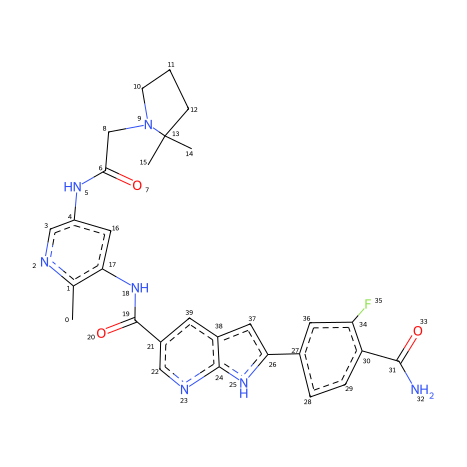 Cc1ncc(NC(=O)CN2CCCC2(C)C)cc1NC(=O)c1cnc2[nH]c(-c3ccc(C(N)=O)c(F)c3)cc2c1